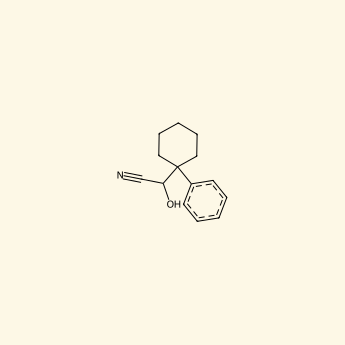 N#CC(O)C1(c2ccccc2)CCCCC1